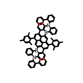 Cc1cc(C)c(-c2cc3c4c(cc5c(-c6c(C)cc(C)cc6C)cc6c7c(cc2c4c57)B2c4ccccc4N(c4ccccc4-c4ccccc4)c4cccc-6c42)B2c4ccccc4N(c4ccccc4-c4ccccc4)c4cccc-3c42)c(C)c1